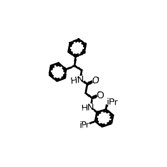 CC(C)c1cccc(C(C)C)c1NC(=O)CC(=O)NCC(c1ccccc1)c1ccccc1